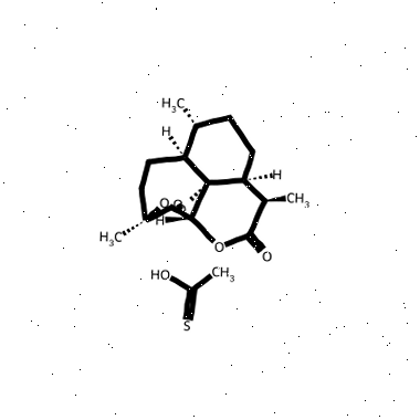 CC(O)=S.C[C@@H]1CC[C@H]2[C@@H](C)C(=O)O[C@@H]3O[C@]4(C)CC[C@@H]1[C@]32OO4